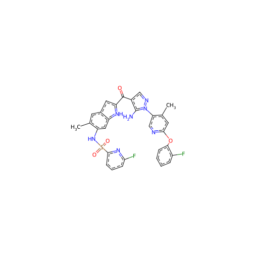 Cc1cc2cc(C(=O)c3cnn(-c4cnc(Oc5ccccc5F)cc4C)c3N)[nH]c2cc1NS(=O)(=O)c1cccc(F)n1